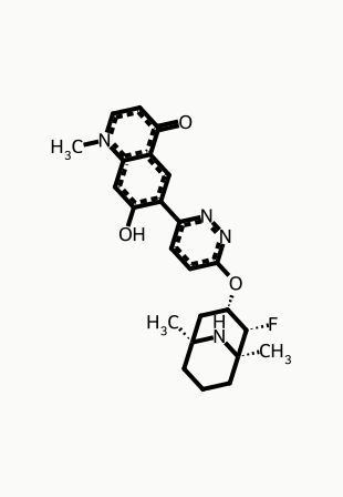 Cn1ccc(=O)c2cc(-c3ccc(O[C@H]4C[C@]5(C)CCC[C@@](C)(N5)[C@H]4F)nn3)c(O)cc21